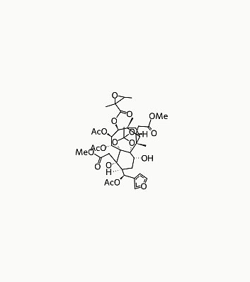 COC(=O)C[C@H]1[C@@]2(C)CC3OC4(C)O[C@@]5([C@H](O)C[C@@](C)([C@H](OC(C)=O)c6ccoc6)[C@@](O)(CC(=O)OC)[C@@]5(O4)[C@H](OC(C)=O)[C@@H](OC(C)=O)[C@H]2OC(=O)C2(C)OC2C)[C@@]31C